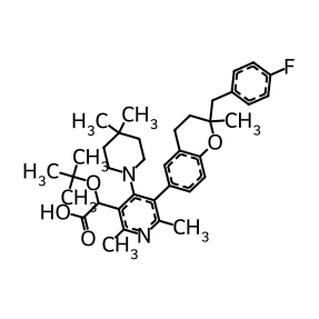 Cc1nc(C)c(C(OC(C)(C)C)C(=O)O)c(N2CCC(C)(C)CC2)c1-c1ccc2c(c1)CCC(C)(Cc1ccc(F)cc1)O2